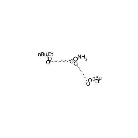 CCCCC(CC)COC(=O)CCCCCCCCCCOc1ccc(N)cc1OCCCCCCCCCCC(=O)OCC(CC)CCCC